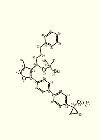 Cc1noc(-c2ccc(-c3ccc(C4(C(=O)O)CC4)cc3)cc2)c1C(CCCc1ccccc1)O[Si](C)(C)C(C)(C)C